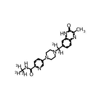 [2H]C([2H])([2H])NC(=O)c1ccc(N2CCN(C([2H])([2H])c3ccc4nc(C)c(=O)[nH]c4c3)CC2)cn1